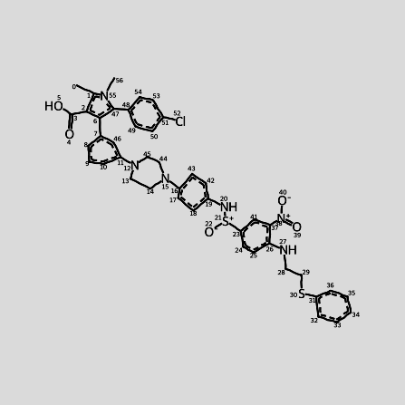 Cc1c(C(=O)O)c(-c2cccc(N3CCN(c4ccc(N[S+]([O-])c5ccc(NCCSc6ccccc6)c([N+](=O)[O-])c5)cc4)CC3)c2)c(-c2ccc(Cl)cc2)n1C